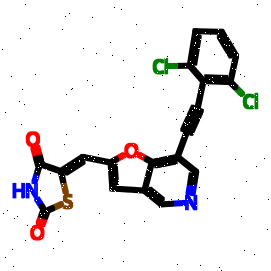 O=C1NC(=O)/C(=C/c2cc3cncc(C#Cc4c(Cl)cccc4Cl)c3o2)S1